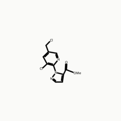 COC(=O)c1ccnn1-c1ncc(CCl)cc1Cl